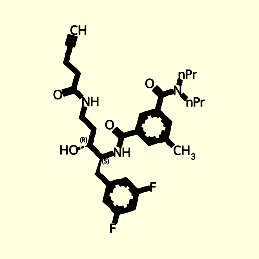 C#CCCC(=O)NCC[C@@H](O)[C@H](Cc1cc(F)cc(F)c1)NC(=O)c1cc(C)cc(C(=O)N(CCC)CCC)c1